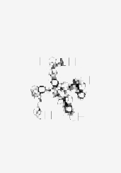 COCCCN1CCOc2ccc(CO[C@H]3CN(S(=O)(=O)c4ccc(C)cc4)C[C@@H](OCCN(C)S(=O)(=O)c4ccccc4)[C@@H]3c3ccc(COCC(C)COC)cc3)cc21